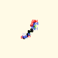 COC[C@H](NCc1nc(C(F)(F)F)c(N[C@H]2CCc3c(-c4cccc(-c5ccc(CNC[C@@H]6CCC(=O)N6)c(OC)n5)c4Cl)cccc32)nc1OC)C(=O)O